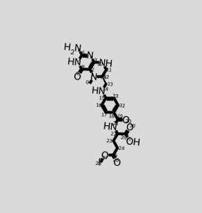 CN1c2c(nc(N)[nH]c2=O)NC[C@H]1CNc1ccc(C(=O)NC(CCC(=O)OF)C(=O)O)cc1